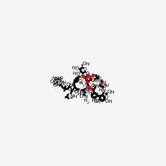 CN[C@H](CC(C)C)C(=O)N[C@H]1C(=O)N[C@@H](CC(N)=O)C(=O)N[C@H]2C(=O)N[C@H]3C(=O)N[C@H](C(=O)N[C@H](C(=O)O)c4cc(O)cc(O)c4-c4cc3ccc4O)[C@H](O)c3ccc(c(Cl)c3)Oc3cc2cc(c3O[C@@H]2O[C@H](CO)[C@@H](O)[C@H](O)[C@H]2O[C@H]2C[C@](C)(N)[C@H](O)[C@H](C)O2)Oc2ccc(cc2Cl)[C@H]1OC(=O)CC(C)(C)CC(=O)NC(P(=O)(O)O)P(=O)(O)O